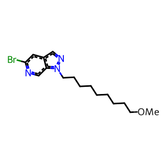 COCCCCCCCCCn1ncc2cc(Br)ncc21